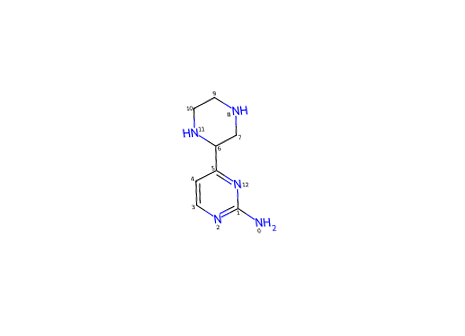 Nc1nccc(C2CNCCN2)n1